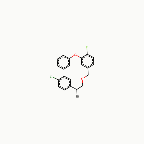 CCC(COCc1ccc(F)c(Oc2ccccc2)c1)c1ccc(Cl)cc1